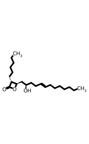 CCCCCCCC=CCC[C@@H](O)C[C@H]1OC(=O)[C@@H]1CCCCCC